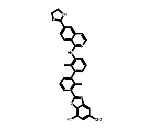 Cc1c(Nc2nccc3cc(C4=NCCN4)ccc23)cccc1-c1cccc(-c2nc3cc(C=O)cc(C#N)c3o2)c1C